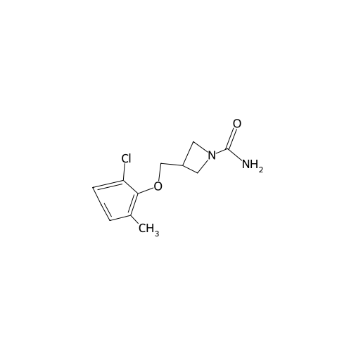 Cc1cccc(Cl)c1OCC1CN(C(N)=O)C1